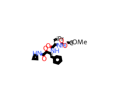 COCCOC(=O)N[C@@H](CC(C)C)C(=O)N[C@@H](Cc1ccccc1)C(=O)C(=O)NC1CCC1